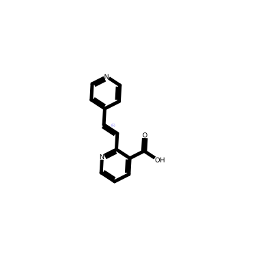 O=C(O)c1cccnc1/C=C/c1ccncc1